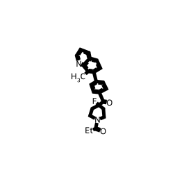 CCC(=O)N1CCC(F)(C(=O)c2ccc(-c3ccc4cccnc4c3C)cc2)CC1